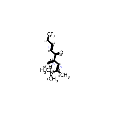 C/C=C(\C=C(\C)N(C)C)C(=O)/C=C/CC(F)(F)F